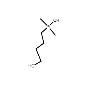 C[Si](C)(O)CCCCO